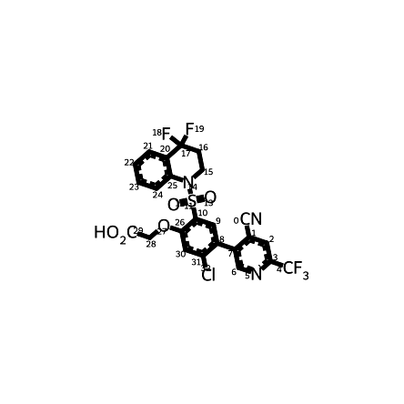 N#Cc1cc(C(F)(F)F)ncc1-c1cc(S(=O)(=O)N2CCC(F)(F)c3ccccc32)c(OCC(=O)O)cc1Cl